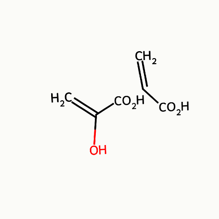 C=C(O)C(=O)O.C=CC(=O)O